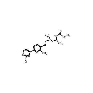 Cc1nc(-c2ccnc(Cl)n2)ccc1OCC(C)CC(C)NC(=O)OC(C)(C)C